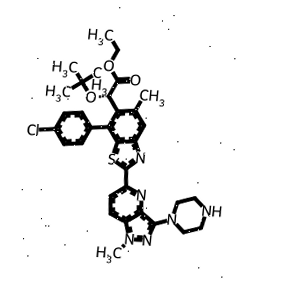 CCOC(=O)[C@@H](OC(C)(C)C)c1c(C)cc2nc(-c3ccc4c(n3)c(N3CCNCC3)nn4C)sc2c1-c1ccc(Cl)cc1